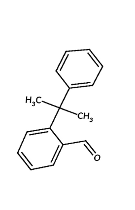 CC(C)(c1ccccc1)c1ccccc1C=O